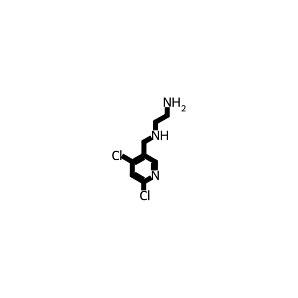 NCCNCc1cnc(Cl)cc1Cl